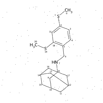 CSc1ccc(CNC23CC4CC(CC(C4)C2)C3)c(SC)c1